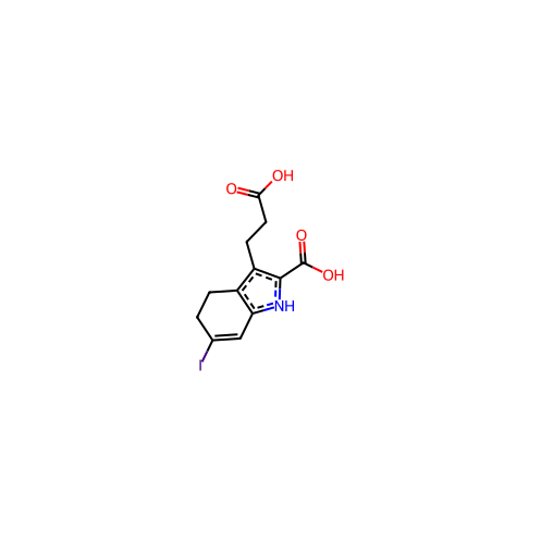 O=C(O)CCc1c(C(=O)O)[nH]c2c1CCC(I)=C2